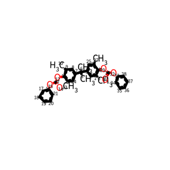 Cc1cc(C(C)(C)c2cc(C)c(OC(=O)Oc3ccccc3)c(C)c2)cc(C)c1OC(=O)Oc1ccccc1